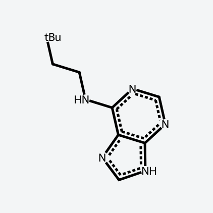 CC(C)(C)CCNc1ncnc2[nH]cnc12